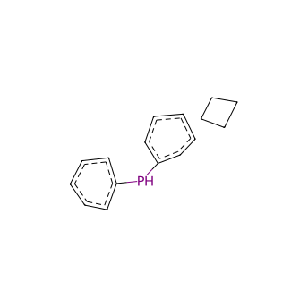 C1CCC1.c1ccc(Pc2ccccc2)cc1